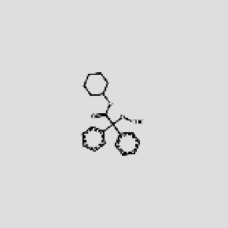 O=[C]OC(C(=O)OC1CCCCC1)(c1ccccc1)c1ccccc1